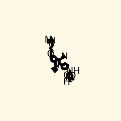 CC(OC(=O)Nc1ccc(-c2c(C#N)c3cc(OCCCn4cncn4)ccc3n2C2CCC2)cc1)C(F)(F)F